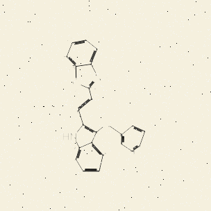 C(=Cc1[nH]c2ccccc2c1Sc1ccccc1)c1nc2ccccc2o1